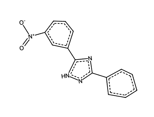 O=[N+]([O-])c1cccc(-c2nc(-c3ccccc3)n[nH]2)c1